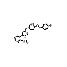 Nc1ncccc1-c1cc(Cc2ccc(OCc3ccc(F)cc3)nc2)no1